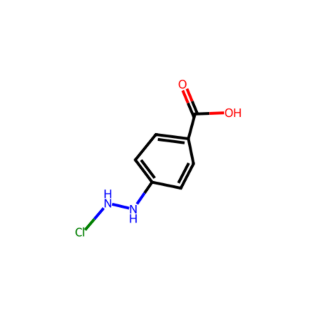 O=C(O)c1ccc(NNCl)cc1